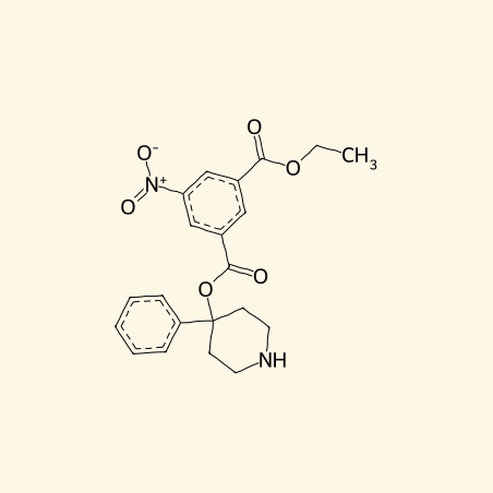 CCOC(=O)c1cc(C(=O)OC2(c3ccccc3)CCNCC2)cc([N+](=O)[O-])c1